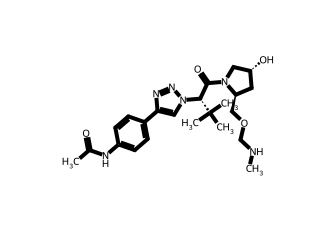 CNCOC[C@@H]1C[C@@H](O)CN1C(=O)[C@@H](n1cc(-c2ccc(NC(C)=O)cc2)nn1)C(C)(C)C